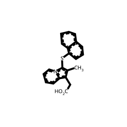 Cc1c(CC(=O)O)c2ccccn2c1Sc1cccc2ccccc12